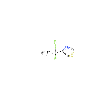 FC(F)(F)C(F)(F)c1cscn1